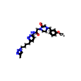 Cc1cn(CCCCc2ccc(NC(=O)CN3CCN(Cc4cccc(OC(F)(F)F)c4)CC3=O)nn2)nn1